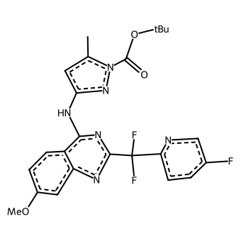 COc1ccc2c(Nc3cc(C)n(C(=O)OC(C)(C)C)n3)nc(C(F)(F)c3ccc(F)cn3)nc2c1